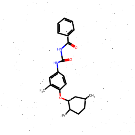 CC1CCC(C(C)C)C(Oc2ccc(NC(=O)NC(=O)c3ccccc3)cc2C(F)(F)F)C1